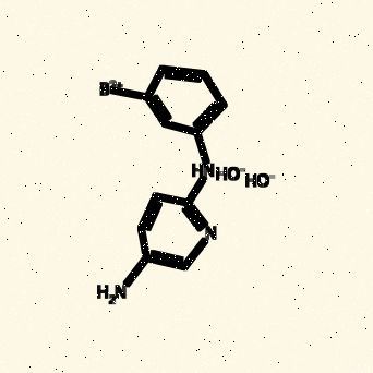 [B+2]c1cccc(Nc2ccc(N)cn2)c1.[OH-].[OH-]